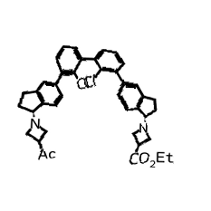 CCOC(=O)C1CN([C@H]2CCc3cc(-c4cccc(-c5cccc(-c6ccc7c(c6)CC[C@H]7N6CC(C(C)=O)C6)c5Cl)c4Cl)ccc32)C1